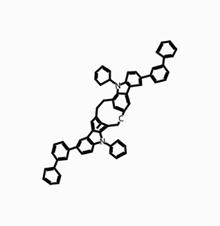 Cc1c2cc3c4cc(-c5cccc(-c6ccccc6)c5)ccc4n(-c4ccccc4)c3c1CCc1cc(c3c(c1)c1cc(-c4cccc(-c5ccccc5)c4)ccc1n3C1C=CC=CC1)CC2